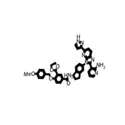 COc1ccc(COc2ccc(C(=O)N[C@H]3CCc4cc(-n5c(-c6cccnc6N)nc6ccc(-c7cc[nH]n7)nc65)ccc43)cc2C2OCCO2)cc1